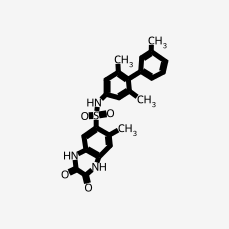 Cc1cccc(-c2c(C)cc(NS(=O)(=O)c3cc4[nH]c(=O)c(=O)[nH]c4cc3C)cc2C)c1